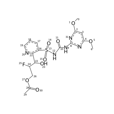 COc1cc(OC)nc(NC(=O)NS(=O)(=O)c2cccnc2C(O)C(F)COC(C)=O)n1